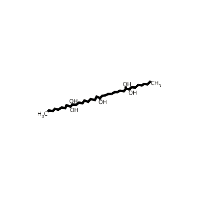 CCCCCCCCC(O)C(O)CCCCCCCCC(O)CCCCCCCCC(O)C(O)CCCCCCCC